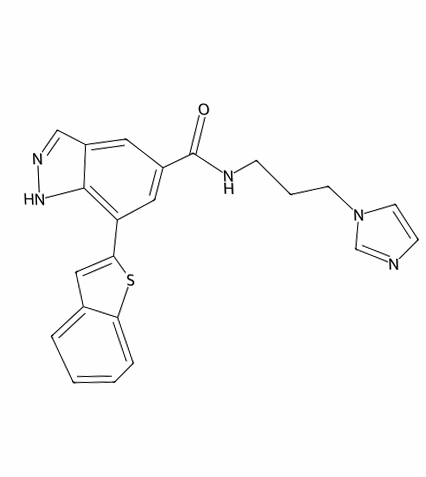 O=C(NCCCn1ccnc1)c1cc(-c2cc3ccccc3s2)c2[nH]ncc2c1